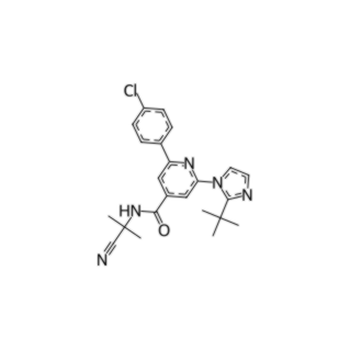 CC(C)(C#N)NC(=O)c1cc(-c2ccc(Cl)cc2)nc(-n2ccnc2C(C)(C)C)c1